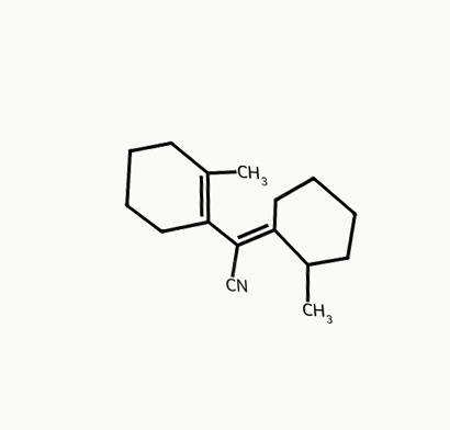 CC1=C(C(C#N)=C2CCCCC2C)CCCC1